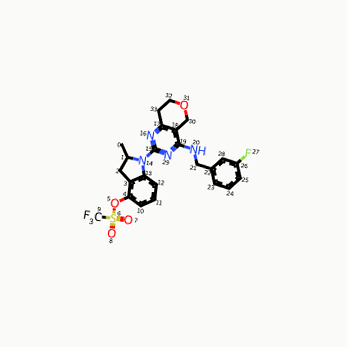 CC1Cc2c(OS(=O)(=O)C(F)(F)F)cccc2N1c1nc2c(c(NCc3cccc(F)c3)n1)COCC2